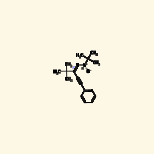 CC(C)(C)/C(C#Cc1ccccc1)=N/[S@@+]([O-])C(C)(C)C